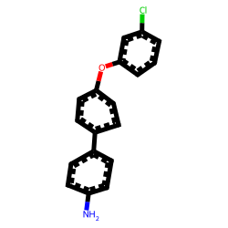 Nc1ccc(-c2ccc(Oc3cccc(Cl)c3)cc2)cc1